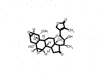 CC(=O)O[C@H]1C[C@H]2[C@@H]([C@@H]3O[C@@H]3[C@@]3(O)C[C@@H]4O[C@@H]4[C@H](OC(C)=O)[C@]23C)[C@@H]2CC(=O)C([C@H](C)[C@H](O)CC3=C(C)C(=O)OC3)[C@@]12C